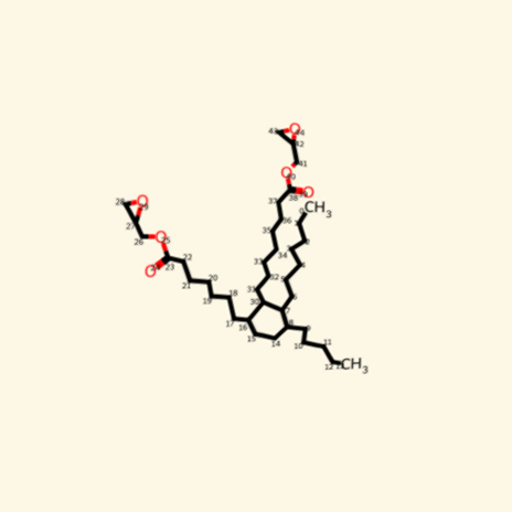 CCCCCCCC1C(CCCCC)CCC(CCCCCCC(=O)OCC2CO2)C1CCCCCCCC(=O)OCC1CO1